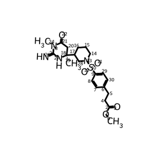 COC(=O)CCc1ccc(S(=O)(=O)N2CCCC([C@]3(C)CC(=O)N(C)C(=N)N3)C2)cc1